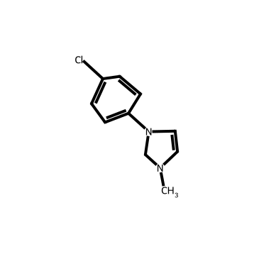 CN1C=CN(c2ccc(Cl)cc2)C1